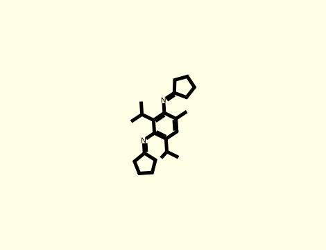 Cc1cc(C(C)C)c(N=C2CCCC2)c(C(C)C)c1N=C1CCCC1